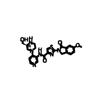 COc1ccc2c(c1)C(=O)N(c1nc(C(=O)Nc3cnccc3N3CCN[C@@H](CO)C3)cs1)C2